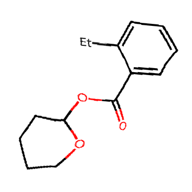 CCc1ccccc1C(=O)OC1CCCCO1